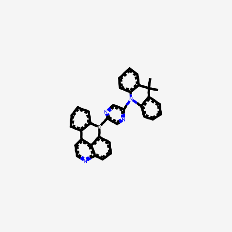 CC1(C)c2ccccc2N(c2cnc(B3c4ccccc4-c4ccnc5cccc3c45)cn2)c2ccccc21